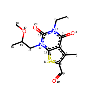 CCn1c(=O)c2c(C)c(C=O)sc2n(CC(C)OC)c1=O